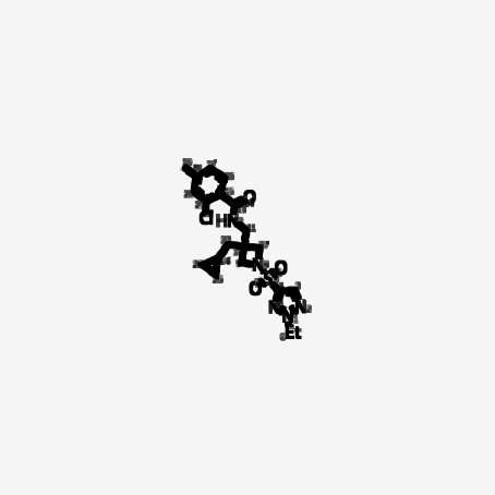 CCn1ncc(S(=O)(=O)N2CC(CNC(=O)c3ccc(C)cc3Cl)(CC3CC3)C2)n1